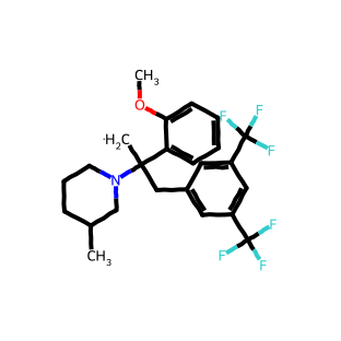 [CH2]C(Cc1cc(C(F)(F)F)cc(C(F)(F)F)c1)(c1ccccc1OC)N1CCCC(C)C1